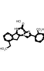 Cl.O=C(O)Cc1cccc2c1Cc1c-2[nH]c(=O)c2nc(-c3ccccc3C(=O)O)cn12